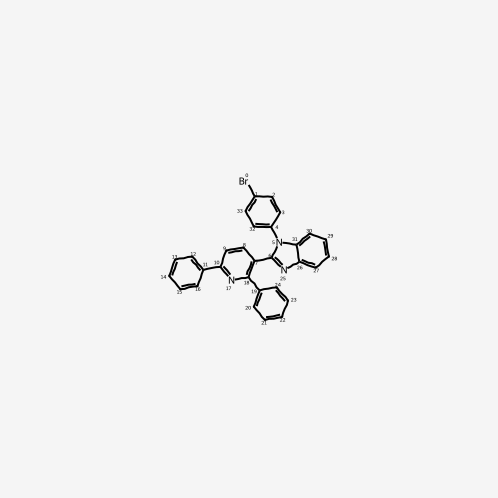 Brc1ccc(-n2c(-c3ccc(-c4ccccc4)nc3-c3ccccc3)nc3ccccc32)cc1